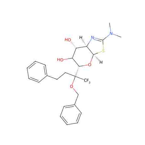 CN(C)C1=N[C@H]2[C@H](O[C@H](C(CCc3ccccc3)(OCc3ccccc3)C(F)(F)F)C(O)[C@@H]2O)S1